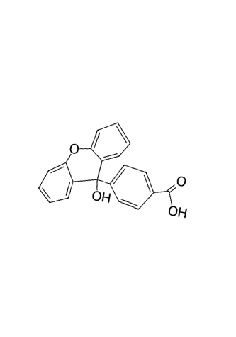 O=C(O)c1ccc(C2(O)c3ccccc3Oc3ccccc32)cc1